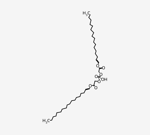 CCCCCCCCCCCCCCCCC=COC(=O)COP(=O)(O)OCC(=O)OC=CCCCCCCCCCCCCCCCC